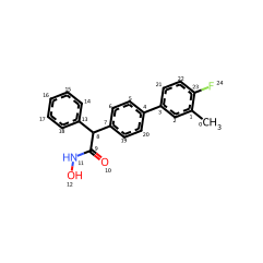 Cc1cc(-c2ccc(C(C(=O)NO)c3ccccc3)cc2)ccc1F